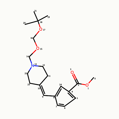 COC(=O)c1cccc(C=C2CCN(COCOC(C)(C)C)CC2)c1